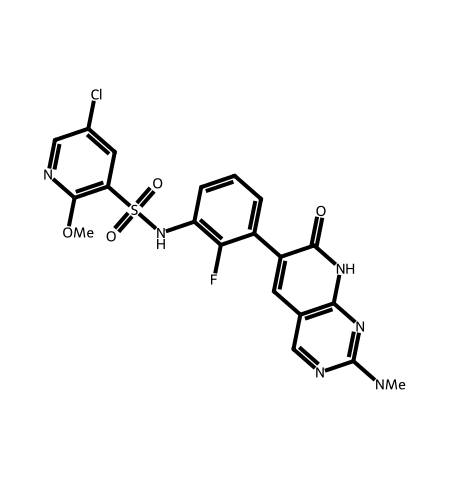 CNc1ncc2cc(-c3cccc(NS(=O)(=O)c4cc(Cl)cnc4OC)c3F)c(=O)[nH]c2n1